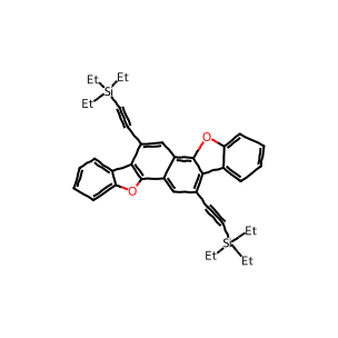 CC[Si](C#Cc1cc2c(cc(C#C[Si](CC)(CC)CC)c3c4ccccc4oc23)c2oc3ccccc3c12)(CC)CC